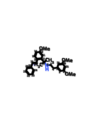 COc1cc(CCNC(C)(C)c2cc(OC)ccc2/C=C/c2ccccc2)cc(OC)c1